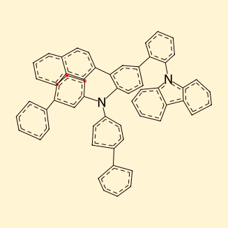 c1ccc(-c2ccc(N(c3cccc(-c4ccccc4)c3)c3ccc(-c4ccccc4-n4c5ccccc5c5ccccc54)cc3-c3ccc4ccccc4c3)cc2)cc1